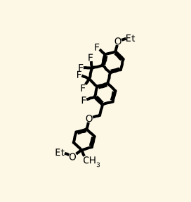 CCOc1ccc2c(c1F)C(F)(F)C(F)(F)c1c-2ccc(COC2=CCC(C)(OCC)C=C2)c1F